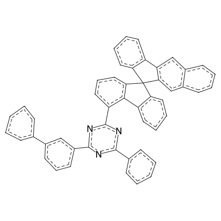 c1ccc(-c2cccc(-c3nc(-c4ccccc4)nc(-c4cccc5c4-c4ccccc4C54c5ccccc5-c5cc6ccccc6cc54)n3)c2)cc1